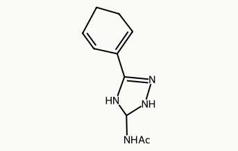 CC(=O)NC1NN=C(C2=CCCC=C2)N1